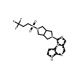 O=S(=O)(CCC(F)(F)F)N1CC2CN(c3ncc4cnc5[nH]ccc5n34)CC2C1